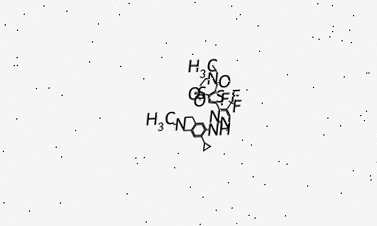 CCN1CCc2cc(Nc3ncc(C(F)(F)F)c(-c4cc5c(s4)C(=O)N(CC)CCS5(=O)=O)n3)c(C3CC3)cc2C1